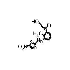 CCN(CCO)c1cccc(N=Nc2ncc([N+](=O)[O-])s2)c1C